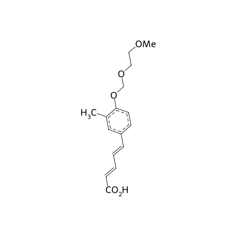 COCCOCOc1ccc(C=CC=CC(=O)O)cc1C